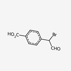 O=CC(Br)c1ccc(C(=O)O)cc1